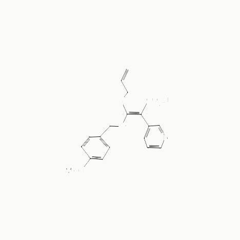 C=CCSC(SCc1ccc(OC)cc1)=C(C(=O)OCC)c1cccnc1